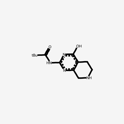 CC(C)(C)C(=O)Nc1nc(O)c2c(n1)CNCC2